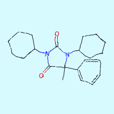 CC1(c2ccccc2)C(=O)N(C2CCCCC2)C(=O)N1C1CCCCC1